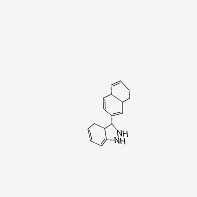 C1=CCC2C(=C1)NNC2C1=CC2CCC=CC2C=C1